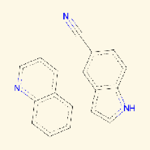 N#Cc1ccc2[nH]ccc2c1.c1ccc2ncccc2c1